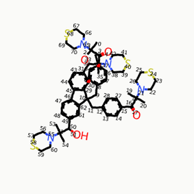 CC(C)(C(=O)c1ccc(CC2(Cc3ccc(C(=O)C(C)(C)N4CCSCC4)cc3)c3cc(C(=O)C(C)(C)N4CCSCC4)ccc3-c3ccc(C(O)C(C)(C)N4CCSCC4)cc32)cc1)N1CCSCC1